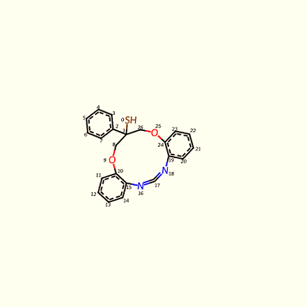 SC1(c2ccccc2)COc2ccccc2N=C=Nc2ccccc2OC1